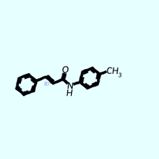 Cc1ccc(NC(=O)/C=C/c2ccccc2)cc1